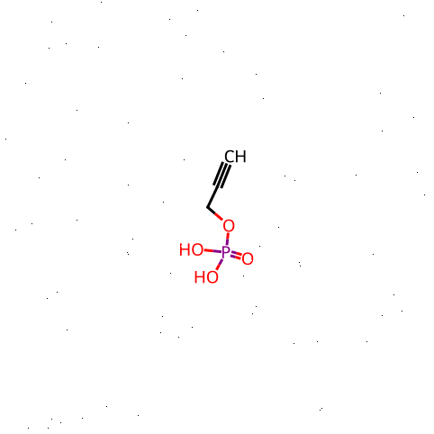 C#CCOP(=O)(O)O